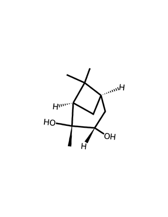 CC1(C)[C@@H]2C[C@H]1[C@@](C)(O)[C@@H](O)C2